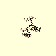 CC(C)=CCCC(C)=CCCC(C)=CCOP(=O)(O)O.O=P(O)(O)O